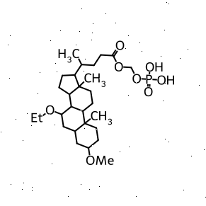 CCOC1CC2CC(OC)CCC2(C)C2CCC3(C)C(C(C)CCC(=O)OCOP(=O)(O)O)CCC3C12